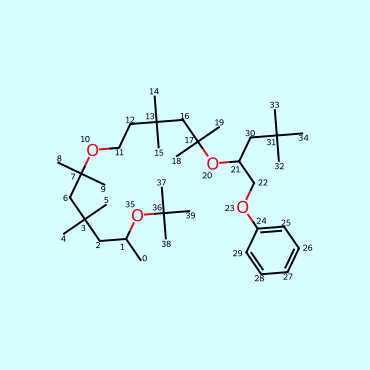 CC(CC(C)(C)CC(C)(C)OCCC(C)(C)CC(C)(C)OC(COc1ccccc1)CC(C)(C)C)OC(C)(C)C